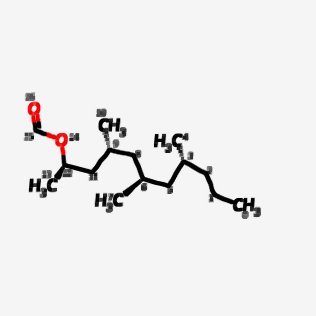 CCC[C@@H](C)C[C@@H](C)C[C@@H](C)C[C@@H](C)OC=O